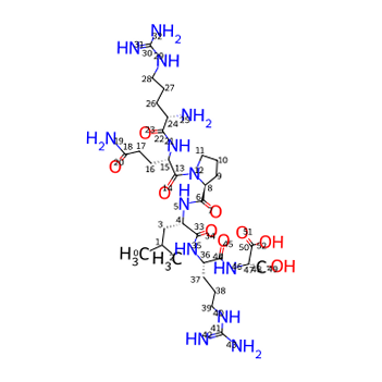 CC(C)C[C@H](NC(=O)[C@@H]1CCCN1C(=O)[C@H](CCC(N)=O)NC(=O)[C@@H](N)CCCNC(=N)N)C(=O)N[C@@H](CCCNC(=N)N)C(=O)N[C@@H](CO)C(=O)O